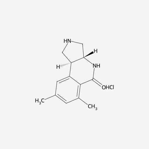 Cc1cc(C)c2c(c1)[C@H]1CNC[C@@H]1NC2=O.Cl